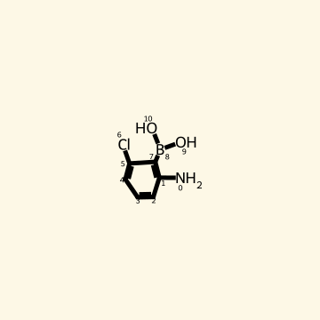 Nc1cccc(Cl)c1B(O)O